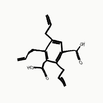 C=CCc1cc(C(=O)O)c(CC=C)c(C(=O)O)c1CC=C